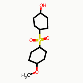 COC1CCC(S(=O)(=O)C2CCC(O)CC2)CC1